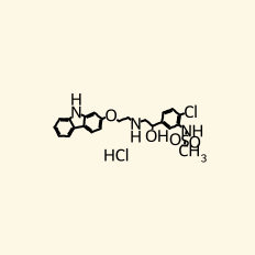 CS(=O)(=O)Nc1cc([C@@H](O)CNCCOc2ccc3c(c2)[nH]c2ccccc23)ccc1Cl.Cl